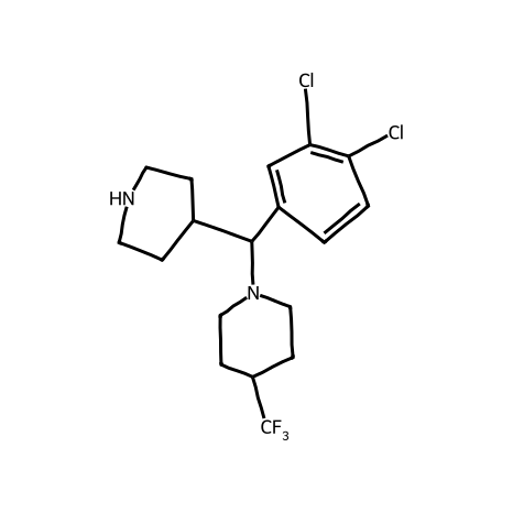 FC(F)(F)C1CCN(C(c2ccc(Cl)c(Cl)c2)C2CCNCC2)CC1